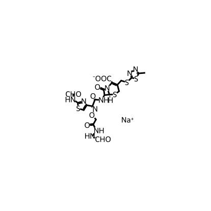 Cc1nnc(SCC2=C(C(=O)[O-])N3C(=O)C(NC(=O)C(=NOCC(=O)NNC=O)c4csc(NC=O)n4)[C@@H]3SC2)s1.[Na+]